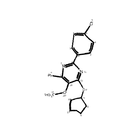 CC(C)c1nc(-c2ccc(Cl)cc2)nc(OC2CCCC2)c1OC(=O)O